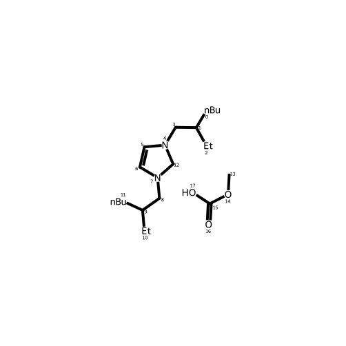 CCCCC(CC)CN1C=CN(CC(CC)CCCC)C1.COC(=O)O